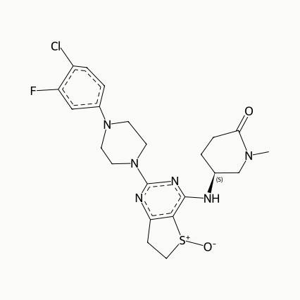 CN1C[C@@H](Nc2nc(N3CCN(c4ccc(Cl)c(F)c4)CC3)nc3c2[S+]([O-])CC3)CCC1=O